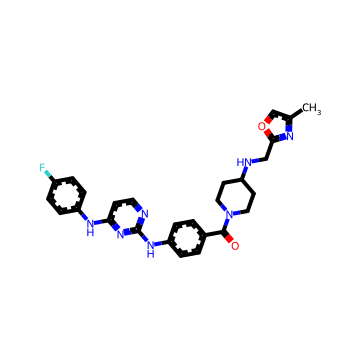 Cc1coc(CNC2CCN(C(=O)c3ccc(Nc4nccc(Nc5ccc(F)cc5)n4)cc3)CC2)n1